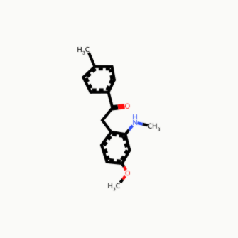 CNc1cc(OC)ccc1CC(=O)c1ccc(C)cc1